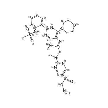 CN(Cc1nc2c(N3CCOCC3)nc(-c3ccccc3NS(C)(=O)=O)nc2n1C)c1ncc(C(=O)ON)cn1